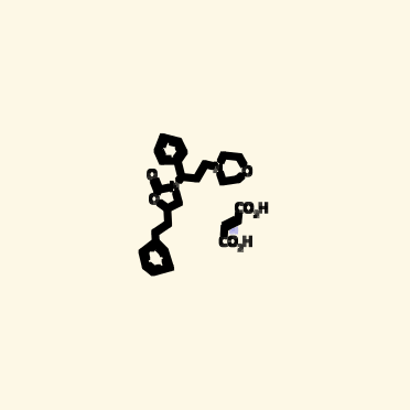 O=C(O)/C=C/C(=O)O.O=C1OC(CCc2ccccc2)CN1C(CCN1CCOCC1)c1ccccc1